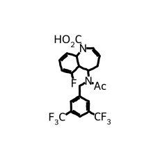 CC(=O)N(Cc1cc(C(F)(F)F)cc(C(F)(F)F)c1)C1CC=CN(C(=O)O)C2C=CC=C(F)C21